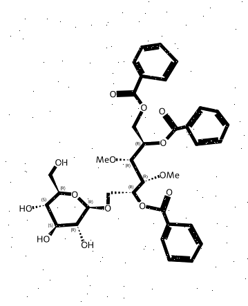 CO[C@@H]([C@H](OC)[C@@H](CO[C@@H]1O[C@H](CO)[C@@H](O)[C@H](O)[C@H]1O)OC(=O)c1ccccc1)[C@@H](COC(=O)c1ccccc1)OC(=O)c1ccccc1